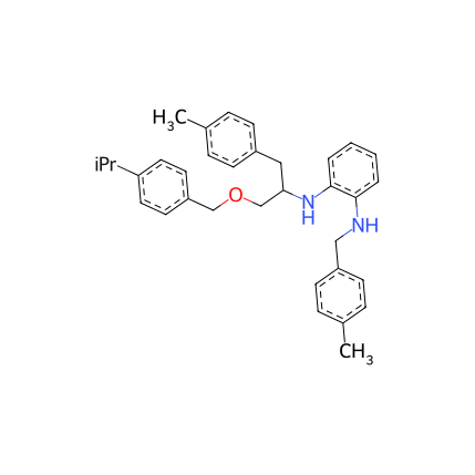 Cc1ccc(CNc2ccccc2NC(COCc2ccc(C(C)C)cc2)Cc2ccc(C)cc2)cc1